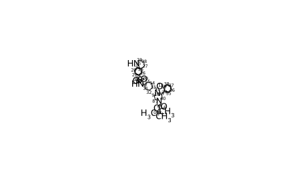 CC(C)(C)OC(=O)N1CCN(C(=O)[C@H]2CC[C@H](NS(=O)(=O)c3ccc4c(c3)CCCN4)CC2)C(c2ccccc2)C1